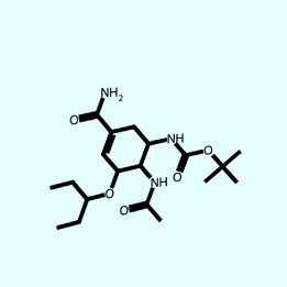 CCC(CC)OC1C=C(C(N)=O)CC(NC(=O)OC(C)(C)C)C1NC(C)=O